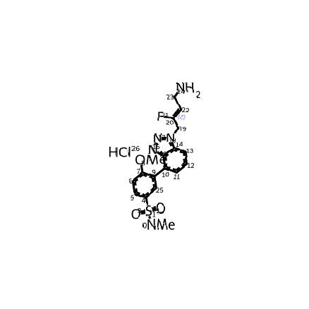 CNS(=O)(=O)c1ccc(OC)c(-c2cccc3c2nnn3C/C(F)=C/CN)c1.Cl